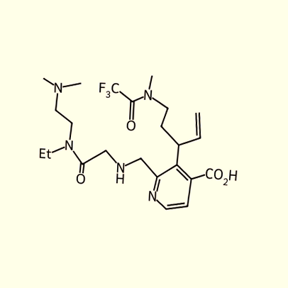 C=CC(CCN(C)C(=O)C(F)(F)F)c1c(C(=O)O)ccnc1CNCC(=O)N(CC)CCN(C)C